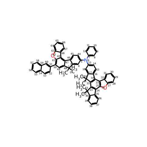 CC1(C)c2cc(N(c3ccccc3)c3ccc4c(c3)C(C)(C)c3c5c(c6oc7ccccc7c6c3-4)-c3ccccc3C5(C)C)ccc2-c2c1cc(-c1ccc3ccccc3c1)c1oc3ccccc3c21